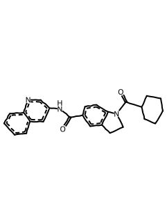 O=C(Nc1cnc2ccccc2c1)c1ccc2c(c1)CCN2C(=O)C1CCCCC1